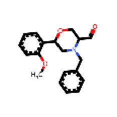 COc1ccccc1C1CN(Cc2ccccc2)C(C=O)CO1